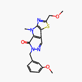 COCc1nc2c(s1)c1cnn(Cc3cccc(OC)c3)c(=O)c1n2C